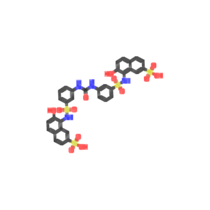 O=C(Nc1cccc(S(=O)(=O)Nc2c(O)ccc3ccc(S(=O)(=O)O)cc23)c1)Nc1cccc(S(=O)(=O)Nc2c(O)ccc3ccc(S(=O)(=O)O)cc23)c1